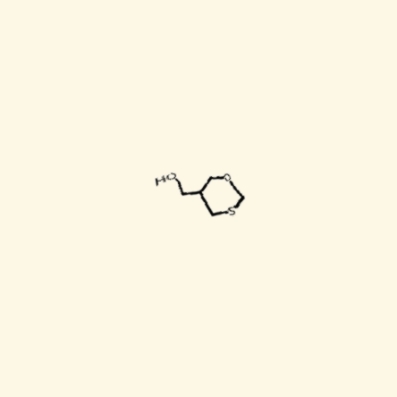 OCC1COCSC1